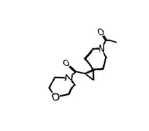 CC(=O)N1CCC2(CC1)CC2C(=O)N1CCOCC1